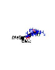 COc1cc(CCNC(=O)N2CCC3(CC2)CN/C(=N\C(=O)c2nc(Cl)c(N)nc2N)N3)cc(OC)c1